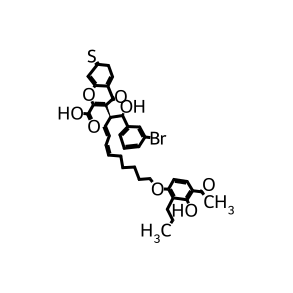 CCCc1c(OCCCCC/C=C\C=C\[C@@H](c2c(C(=O)O)oc3c(c2=O)=CCC(=S)C=3)[C@@H](O)c2cccc(Br)c2)ccc(C(C)=O)c1O